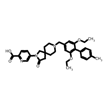 CCOc1cc(CN2CCC3(CC2)CC(=O)N(c2ccc(C(=O)O)nc2)C3)cc(OCC)c1-c1ccc(C)cc1